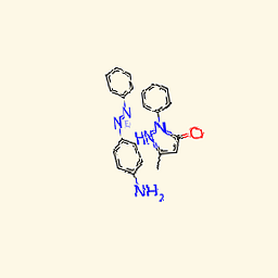 Cc1cc(=O)n(-c2ccccc2)[nH]1.Nc1ccc(/N=N/c2ccccc2)cc1